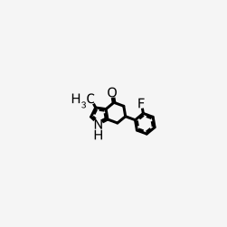 Cc1c[nH]c2c1C(=O)CC(c1ccccc1F)C2